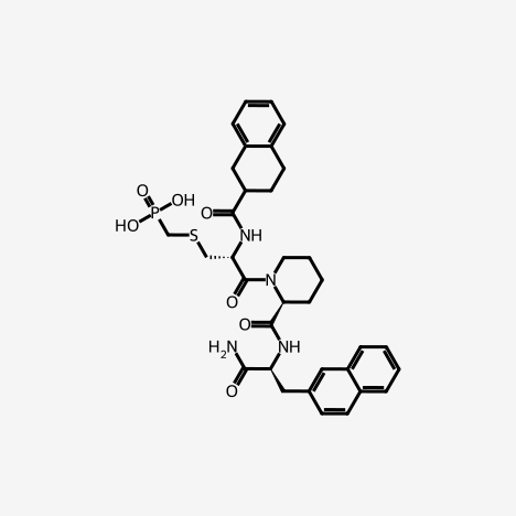 NC(=O)[C@H](Cc1ccc2ccccc2c1)NC(=O)[C@@H]1CCCCN1C(=O)[C@H](CSCP(=O)(O)O)NC(=O)C1CCc2ccccc2C1